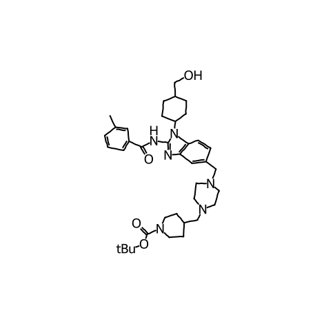 Cc1cccc(C(=O)Nc2nc3cc(CN4CCN(CC5CCN(C(=O)OC(C)(C)C)CC5)CC4)ccc3n2C2CCC(CO)CC2)c1